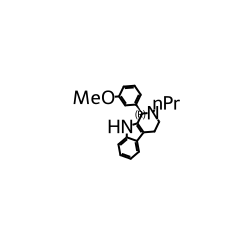 CCCN1CCc2c([nH]c3ccccc23)[C@H]1c1cccc(OC)c1